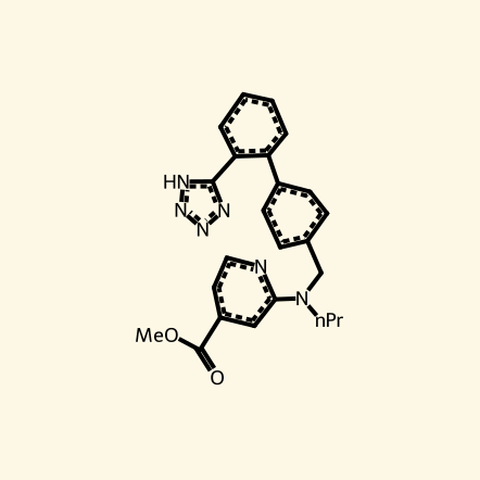 CCCN(Cc1ccc(-c2ccccc2-c2nnn[nH]2)cc1)c1cc(C(=O)OC)ccn1